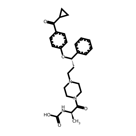 C[C@@H](NC(=O)O)C(=O)N1CCN(CC[C@H](Oc2ccc(C(=O)C3CC3)cc2)c2ccccc2)CC1